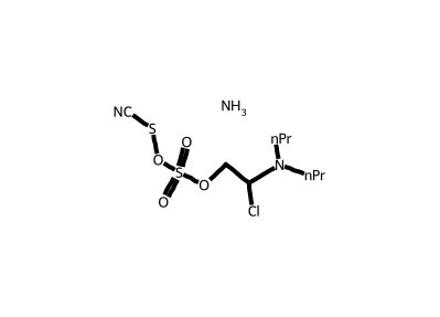 CCCN(CCC)C(Cl)COS(=O)(=O)OSC#N.N